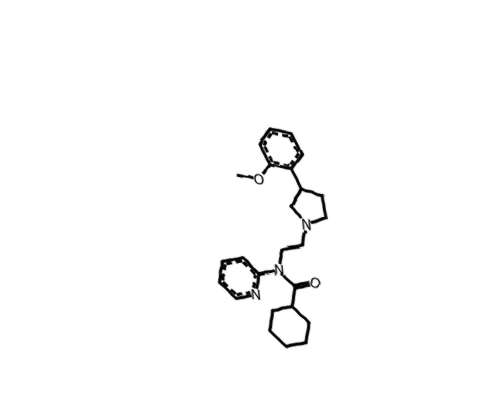 COc1ccccc1C1CCN(CCN(C(=O)C2CCCCC2)c2ccccn2)C1